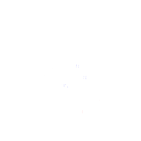 O=C(O)c1nnc(C2(c3ccccc3)CC2)[nH]1